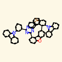 c1ccc(-c2nc(-c3cccc(-n4c5ccccc5c5ccccc54)c3)nc(-c3cccc4oc5ccc(-c6c(-n7c8ccccc8c8ccccc87)ccc7sc8ccccc8c67)cc5c34)n2)cc1